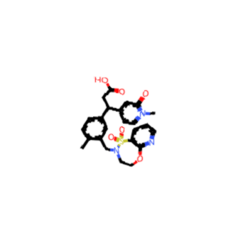 Cc1ccc(C(CC(=O)O)c2ccn(C)c(=O)c2)cc1CN1CCOc2ncccc2S1(=O)=O